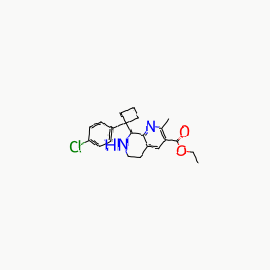 CCOC(=O)c1cc2c(nc1C)C(C1(c3ccc(Cl)cc3)CCC1)NCC2